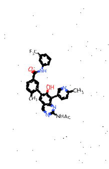 CC(=O)Nc1ncc2cc(-c3cc(C(=O)Nc4cccc(C(F)(F)F)c4)ccc3C)c(O)c(-c3ccc(C)nc3)c2n1